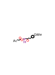 COc1ccc(CCC(=O)CPCOC(=O)CCC(C)=O)cc1